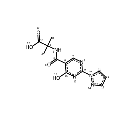 CC(C)(NC(=O)c1cnc(-n2cccn2)nc1O)C(=O)O